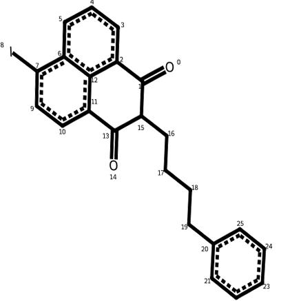 O=C1c2cccc3c(I)ccc(c23)C(=O)C1CCCCc1ccccc1